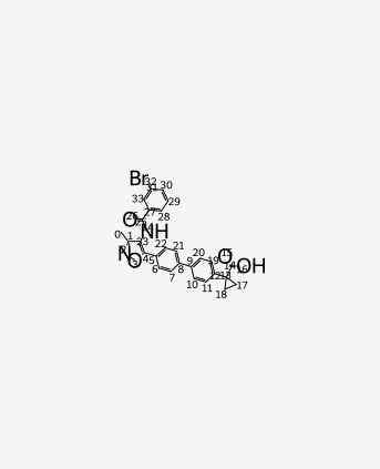 Cc1noc(-c2ccc(-c3ccc(C4(C(=O)O)CC4)cc3)cc2)c1NC(=O)c1cccc(Br)c1